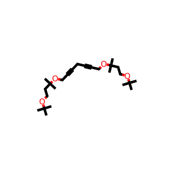 CC(C)(C)OCCC(C)(C)OCC#CCC#CCOC(C)(C)CCOC(C)(C)C